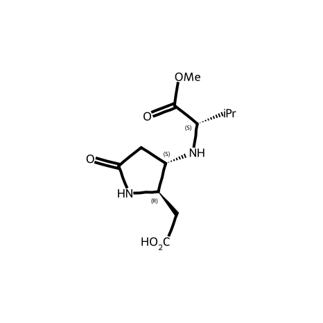 COC(=O)[C@@H](N[C@H]1CC(=O)N[C@@H]1CC(=O)O)C(C)C